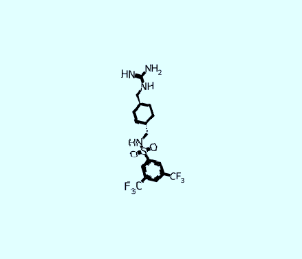 N=C(N)NC[C@H]1CC[C@H](CNS(=O)(=O)c2cc(C(F)(F)F)cc(C(F)(F)F)c2)CC1